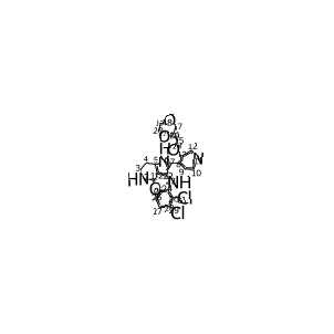 O=C1NCCc2[nH]c(-c3ccncc3OC[C@@H]3COCCO3)c(Nc3cccc(Cl)c3Cl)c21